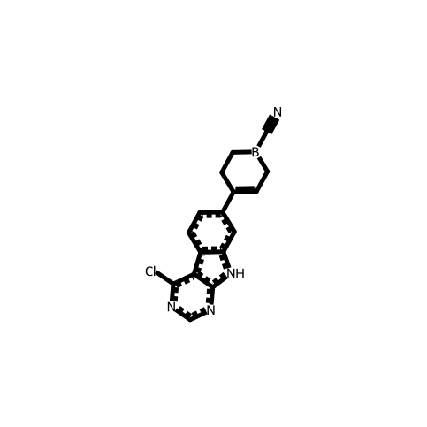 N#CB1CC=C(c2ccc3c(c2)[nH]c2ncnc(Cl)c23)CC1